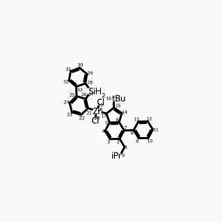 CC(C)Cc1ccc2c(c1-c1ccccc1)C=C(C(C)(C)C)[CH]2[Zr]([Cl])([Cl])[c]1cccc2c1[SiH2]c1ccccc1-2